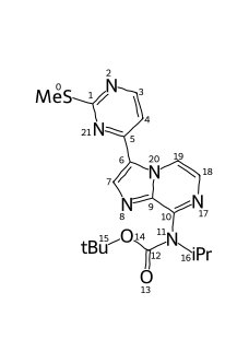 CSc1nccc(-c2cnc3c(N(C(=O)OC(C)(C)C)C(C)C)nccn23)n1